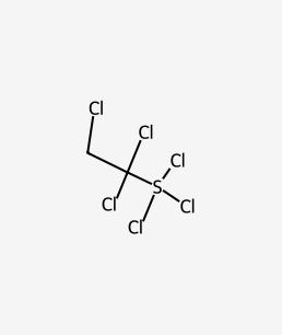 ClCC(Cl)(Cl)S(Cl)(Cl)Cl